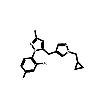 CC(=O)c1cc(F)ccc1-n1nc(C)cc1Cc1cnn(CC2CC2)c1